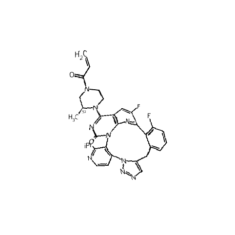 C=CC(=O)N1CCN(c2nc(=O)n3c4nc(c(F)cc24)-c2c(F)cccc2Cc2cnnn2-c2ccnc(C(C)C)c2-3)[C@@H](C)C1